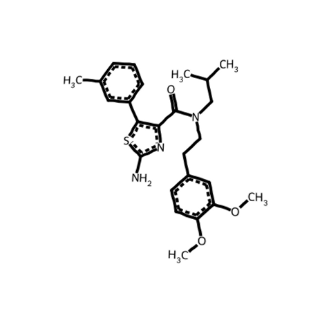 COc1ccc(CCN(CC(C)C)C(=O)c2nc(N)sc2-c2cccc(C)c2)cc1OC